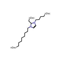 CCCCCCCCCCCCCCCCCCN1C=CN(CCCCCCCCCCCCCC)C1CCCCCCCCCCC